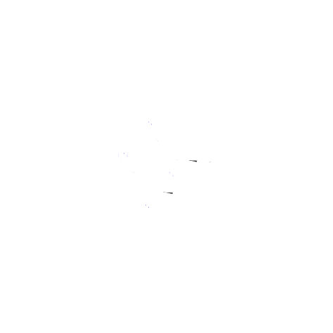 NC(=O)C[C@H](N)C(=O)[O-].NC(=O)C[C@H](N)C(=O)[O-].[Cu+2]